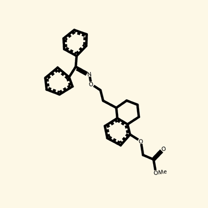 COC(=O)COc1cccc2c1CCCC2CCON=C(c1ccccc1)c1ccccc1